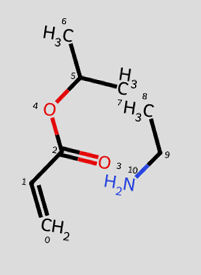 C=CC(=O)OC(C)C.CCN